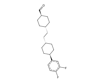 O=C[C@H]1CC[C@H](CC[C@H]2CC[C@H](c3ccc(F)c(F)c3)CC2)CC1